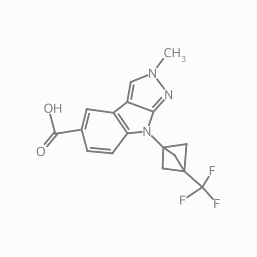 Cn1cc2c3cc(C(=O)O)ccc3n(C34CC(C(F)(F)F)(C3)C4)c2n1